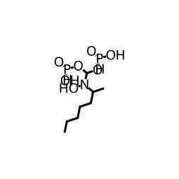 CCCCCC(C)N(O)C(O[PH](=O)O)O[PH](=O)O